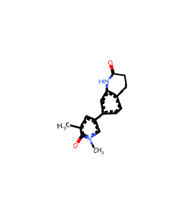 Cc1cc(-c2ccc3c(c2)NC(=O)CC3)cn(C)c1=O